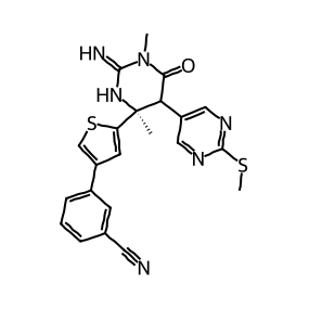 CSc1ncc(C2C(=O)N(C)C(=N)N[C@]2(C)c2cc(-c3cccc(C#N)c3)cs2)cn1